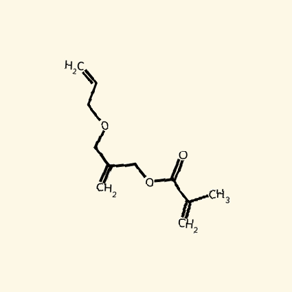 C=CCOCC(=C)COC(=O)C(=C)C